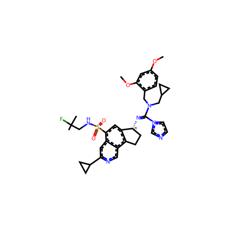 COc1ccc(CN(CC2CC2)C(=N[C@@H]2CCc3c2cc(S(=O)(=O)NCC(C)(C)F)c2cc(C4CC4)ncc32)n2ccnc2)c(OC)c1